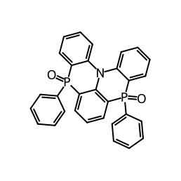 O=P1(c2ccccc2)c2ccccc2N2c3ccccc3P(=O)(c3ccccc3)c3cccc1c32